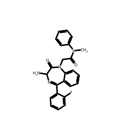 CN(C(=O)CN1C(=O)C(N)N=C(c2ccccc2F)c2ccccc21)c1ccccc1